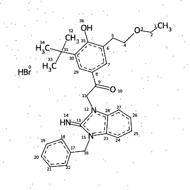 Br.CCOCCc1cc(C(=O)Cn2c(=N)n(Cc3ccccc3)c3ccccc32)cc(C(C)(C)C)c1O